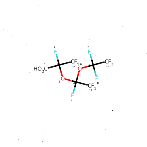 O=C(O)C(F)(OC(F)(OC(F)(F)C(F)(F)F)C(F)(F)F)C(F)(F)F